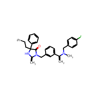 C=C(c1cccc(CN2C(=C)NC(CCC(C)C)(c3ccccc3)C2=O)c1)N(C)Cc1ccc(F)cc1